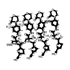 C#Cc1ccc(C(=O)NC(C)(C(=O)Nc2ccc(N3CCOCC3=O)c(C)c2)C(F)(F)F)s1.C#Cc1ccc(C(=O)NC(C)(C)C(=O)Nc2cc(C)c(N3CCOCC3=O)cc2F)s1.C#Cc1ccc(C(=O)NC(C)(COC)C(=O)Nc2ccc(N3CCOCC3=O)c(C)c2)s1.C#Cc1ccc(C(=O)NC(C)(CSC)C(=O)Nc2ccc(N3CCOCC3=O)c(C)c2)s1